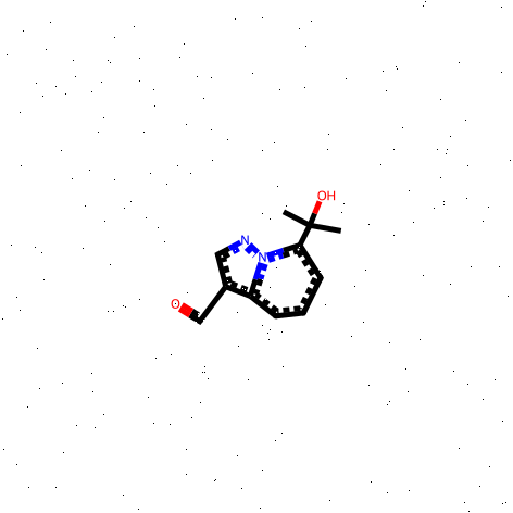 CC(C)(O)c1cccc2c(C=O)cnn12